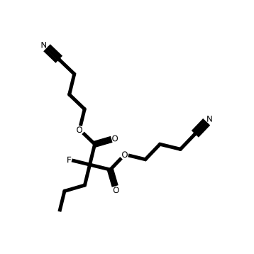 CCCC(F)(C(=O)OCCCC#N)C(=O)OCCCC#N